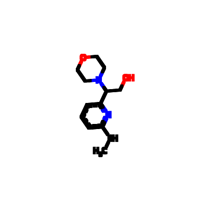 CBc1cccc(C(CO)N2CCOCC2)n1